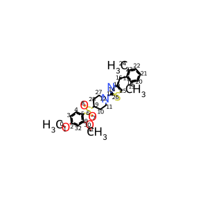 COc1ccc(S(=O)(=O)C2CCN(c3nc(Cc4c(C)cccc4C)cs3)CC2)c(OC)c1